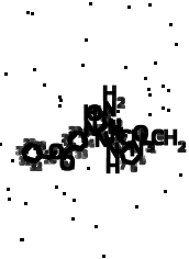 C=CC(=O)N1CCC[C@@H](Nc2nnc(C(N)=O)c(Nc3ccc(C(=O)OCc4ccccc4)cc3)n2)[C@H]1C